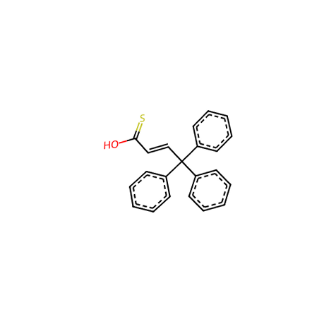 OC(=S)C=CC(c1ccccc1)(c1ccccc1)c1ccccc1